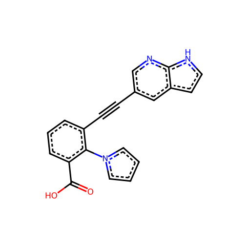 O=C(O)c1cccc(C#Cc2cnc3[nH]ccc3c2)c1-n1cccc1